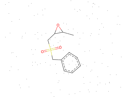 CC1OC1CS(=O)(=O)Cc1ccccc1